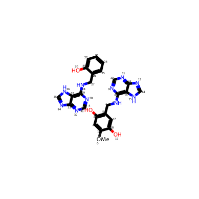 COc1cc(O)c(CNc2ncnc3nc[nH]c23)cc1O.Oc1ccccc1CNc1ncnc2nc[nH]c12